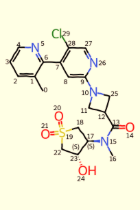 Cc1cccnc1-c1cc(N2CC(C(=O)N(C)[C@@H]3CS(=O)(=O)C[C@H]3O)C2)ncc1Cl